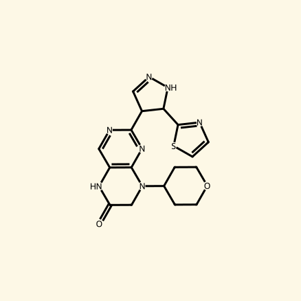 O=C1CN(C2CCOCC2)c2nc(C3C=NNC3c3nccs3)ncc2N1